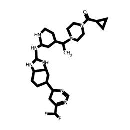 CC(C1CCNC(NC2NC3CCC(C4CC(C(F)F)=NC=N4)CC3N2)C1)N1CCN(C(=O)C2CC2)CC1